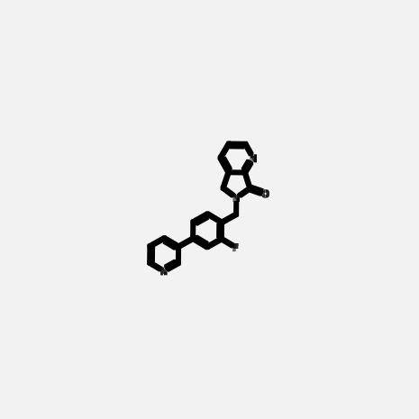 O=C1c2ncccc2CN1Cc1ccc(-c2cccnc2)cc1F